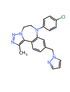 Cc1nnn2c1-c1ccc(Cn3cccn3)cc1N(c1ccc(Cl)cc1)CC2